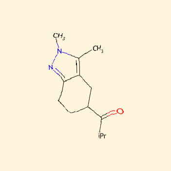 Cc1c2c(nn1C)CCC(C(=O)C(C)C)C2